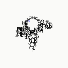 CCc1nc2ccc(F)cc2nc1O[C@@H]1C[C@H]2C(=O)N[C@]3(C(=O)NS(=O)(=O)C4(C)CC4)C[C@H]3/C=C\CCCCC[C@H](NC(=O)c3ccncn3)C(=O)N2C1